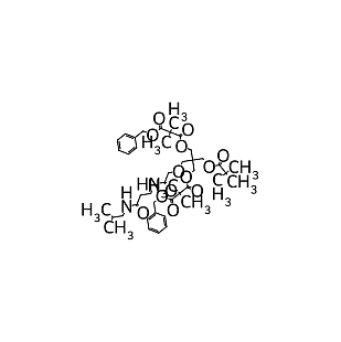 CC(C)CNC(=O)CCNC(=O)COCC(COC(=O)C(C)(C)C)(COC(=O)C(C)(C)C(=O)OCc1ccccc1)COC(=O)C(C)(C)C(=O)OCc1ccccc1